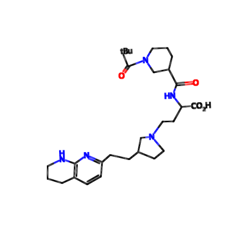 CC(C)(C)C(=O)N1CCCC(C(=O)NC(CCN2CCC(CCc3ccc4c(n3)NCCC4)C2)C(=O)O)C1